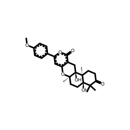 COc1ccc(-c2cc3c(c(=O)o2)C[C@]2(O)[C@@]4(C)CCC(=O)C(C)(C)[C@]4(O)CC[C@@]2(C)O3)cc1